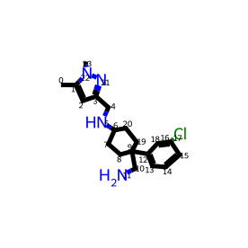 Cc1cc(CNC2CCC(CN)(c3cccc(Cl)c3)CC2)nn1C